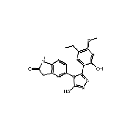 CCc1cc(-c2nnc(S)n2-c2ccc3c(c2)CC(=O)N3)c(O)cc1OC